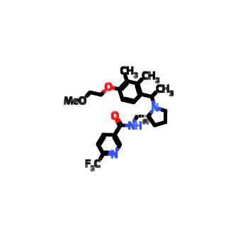 COCCOc1ccc(C(C)N2CCC[C@@H]2CNC(=O)c2ccc(C(F)(F)F)nc2)c(C)c1C